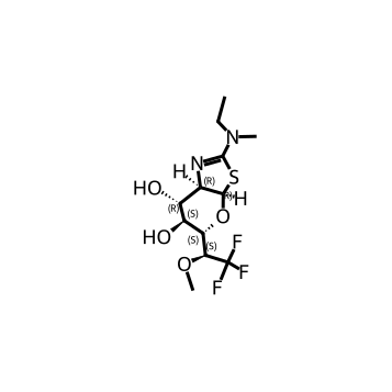 CCN(C)C1=N[C@@H]2[C@@H](O)[C@H](O)[C@@H]([C@H](OC)C(F)(F)F)O[C@@H]2S1